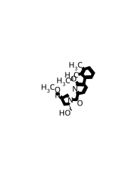 CO/N=C1/C[C@@H](CO)N(C(=O)c2ccc(-c3cccc(C)c3C)c(OC)n2)C1